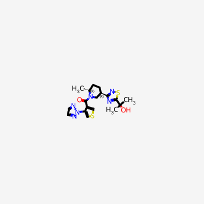 C[C@@H]1CC[C@@H](c2nsc(C(C)(C)O)n2)CN1C(=O)c1cscc1-n1nccn1